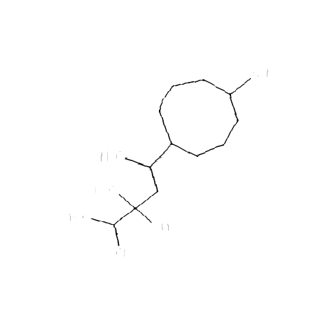 CC(CC(C)(C)C(C)C)C1CCCC(S)CCC1